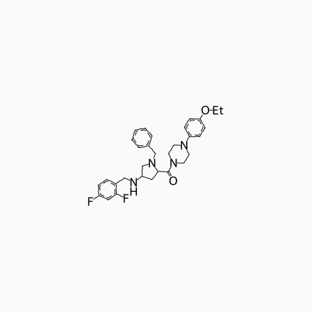 CCOc1ccc(N2CCN(C(=O)C3CC(NCc4ccc(F)cc4F)CN3Cc3ccccc3)CC2)cc1